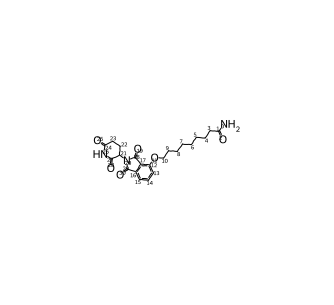 NC(=O)CCCCCCCCOc1cccc2c1C(=O)N(C1CCC(=O)NC1=O)C2=O